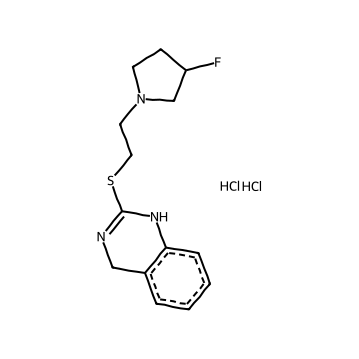 Cl.Cl.FC1CCN(CCSC2=NCc3ccccc3N2)C1